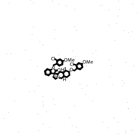 COc1ccc(CO[C@H]2CC[C@H]3CN4CC[C@@]5(C(=O)N(Cc6ccc(OC)cc6Cl)c6ccccc65)[C@@H]4C[C@@H]3[C@H]2C)c(Cl)c1